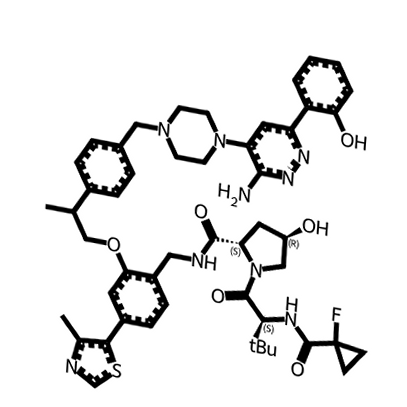 Cc1ncsc1-c1ccc(CNC(=O)[C@@H]2C[C@@H](O)CN2C(=O)[C@@H](NC(=O)C2(F)CC2)C(C)(C)C)c(OCC(C)c2ccc(CN3CCN(c4cc(-c5ccccc5O)nnc4N)CC3)cc2)c1